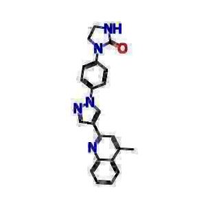 Cc1cc(-c2cnn(-c3ccc(N4CCNC4=O)cc3)c2)nc2ccccc12